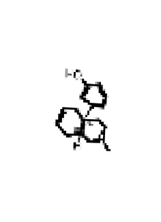 CN1CC[C@@]2(c3cccc(O)c3)CC=CC[C@H]2C1